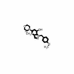 COc1ccc(Cn2ncc3nc(N4CCOC[C@H]4C)cc(O)c32)cc1